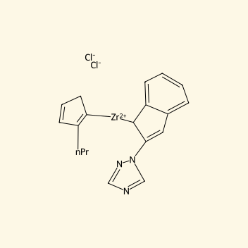 CCCC1=[C]([Zr+2][CH]2C(n3cncn3)=Cc3ccccc32)CC=C1.[Cl-].[Cl-]